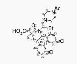 CCC(CN1CCN(C(C)=O)CC1)N1C(=O)C(C)(CC(=O)O)CC(c2cccc(Cl)c2)C1c1ccc(Cl)cc1